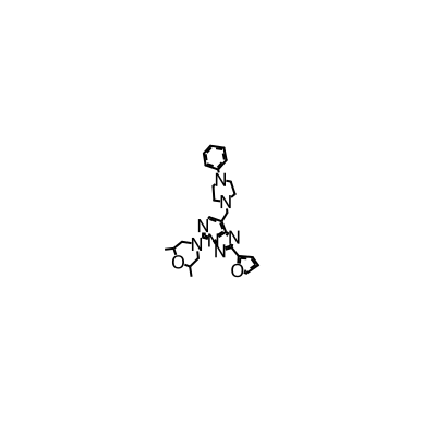 CC1CN(c2ncc(CN3CCN(c4ccccc4)CC3)c3nc(-c4ccco4)nn23)CC(C)O1